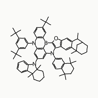 CC1c2cc3oc4c(c3cc2C2(C)CCCC1C2)N(c1ccc2c(c1)C(C)(C)CCC2(C)C)c1cc(N2c3ccccc3C3(C)CCCCC23C)cc2c1B4c1cc(C(C)(C)C)ccc1N2c1cc(C(C)(C)C)cc(C(C)(C)C)c1